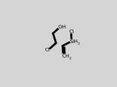 C=C[SiH2]Cl.OCCCl